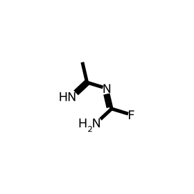 CC(=N)/N=C(\N)F